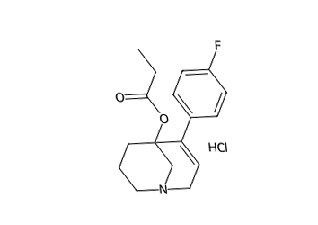 CCC(=O)OC12CCCN(CC=C1c1ccc(F)cc1)C2.Cl